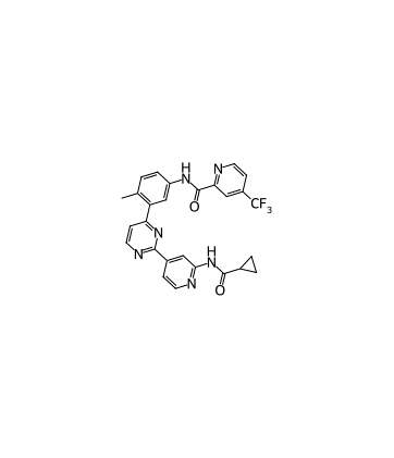 Cc1ccc(NC(=O)c2cc(C(F)(F)F)ccn2)cc1-c1ccnc(-c2ccnc(NC(=O)C3CC3)c2)n1